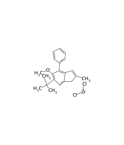 COc1c(C(C)(C)C)cc2c(c1-c1ccccc1)C=C(C)C2.[Cl][Zr][Cl]